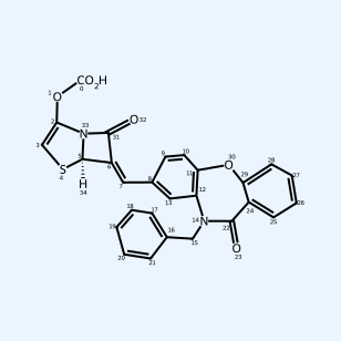 O=C(O)OC1=CS[C@@H]2/C(=C/c3ccc4c(c3)N(Cc3ccccc3)C(=O)c3ccccc3O4)C(=O)N12